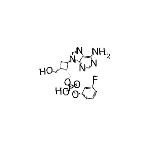 Nc1ncnc2c1ncn2[C@@H]1C[C@H](CO)[C@H]1COP(=O)(O)Oc1cccc(F)c1